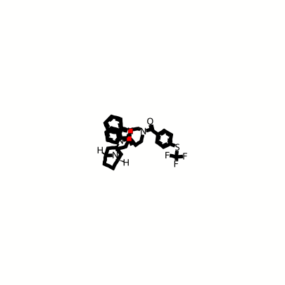 Cc1nc2ccccc2n1[C@H]1C[C@H]2CC[C@@H](C1)N2CCC1(c2ccccc2)CCN(C(=O)c2ccc(SC(F)(F)F)cc2)CC1